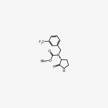 CC(C)(C)OC(=O)N(Cc1cccc(C(F)(F)F)c1)[C@H]1CCNC1=O